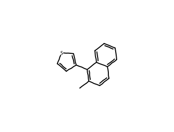 Cc1ccc2ccccc2c1-c1ccsc1